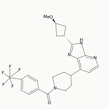 CO[C@H]1C[C@H](c2nc3c(C4CCN(C(=O)c5ccc(S(F)(F)(F)(F)F)cc5)CC4)ccnc3[nH]2)C1